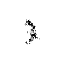 Cc1cc(Cn2c(=O)c3c(ncn3[C@@H](C)C(=O)Nc3ccnc(-c4cnc(C(F)(F)F)c(C)c4)n3)n(C)c2=O)no1